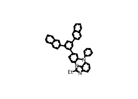 CCc1nc2cccc3c2n1-c1ccc(-c2cc(-c4ccc5ccccc5c4)cc(-c4ccc5ccccc5c4)c2)cc1N3c1ccccc1